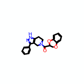 O=C(C1COc2ccccc2O1)N1CCc2[nH]nc(-c3ccccc3)c2C1